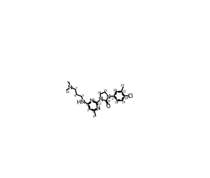 Cc1cc(NCCCN(C)C)nc(N2CCN(c3ccc(Cl)c(C)c3)C2=O)n1